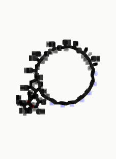 C[C@@H]1[C@H](O)[C@@H](C)/C=C/C=C/C=C/C=C/C=C/C=C/C=C/[C@H](O[C@@H]2O[C@H](C)[C@@H](O)[C@H](N)[C@H]2O)C[C@@H]2O[C@](O)(C[C@@H](O)C[C@@H](O)[C@H](O)CC[C@@H](O)C[C@@H](O)CC(=O)O[C@H]1C)C[C@H](O)C2C(=O)NC1COC[C@H]1O